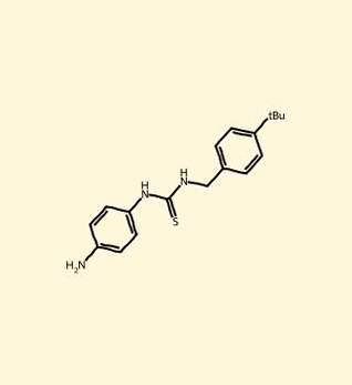 CC(C)(C)c1ccc(CNC(=S)Nc2ccc(N)cc2)cc1